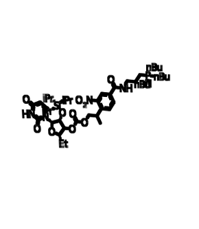 CCCC[PH](CCCC)(CCCC)CCCNC(=O)c1ccc(C(C)COC(=O)OC2[C@@H](CC)O[C@@H](n3ccc(=O)[nH]c3=O)[C@H]2O[Si](C(C)C)(C(C)C)C(C)C)c([N+](=O)[O-])c1